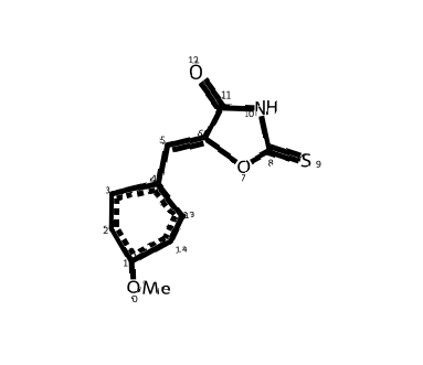 COc1ccc(/C=C2\OC(=S)NC2=O)cc1